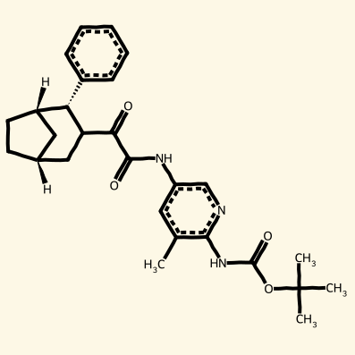 Cc1cc(NC(=O)C(=O)C2C[C@@H]3CC[C@@H](C3)[C@@H]2c2ccccc2)cnc1NC(=O)OC(C)(C)C